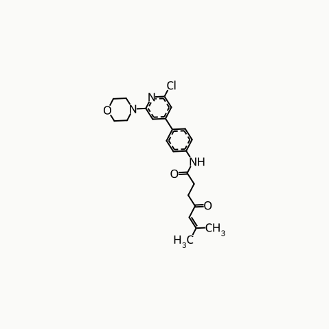 CC(C)=CC(=O)CCC(=O)Nc1ccc(-c2cc(Cl)nc(N3CCOCC3)c2)cc1